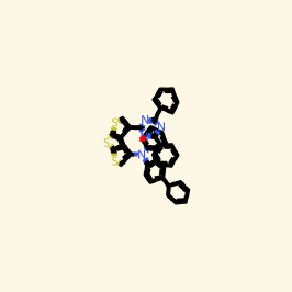 C1=CCC(c2ccc3c(c2)c2ccccc2n3-c2csc3sc4scc(-c5nc(-c6ccccc6)nc(-c6ccccc6)n5)c4c23)C=C1